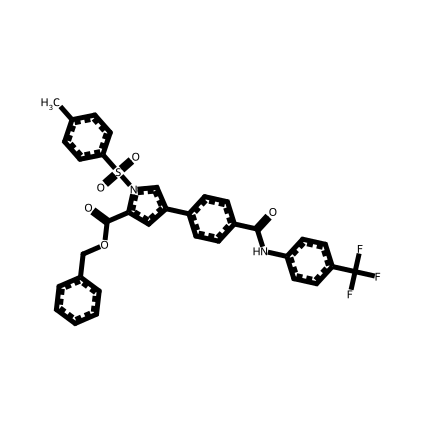 Cc1ccc(S(=O)(=O)n2cc(-c3ccc(C(=O)Nc4ccc(C(F)(F)F)cc4)cc3)cc2C(=O)OCc2ccccc2)cc1